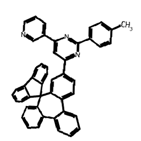 Cc1ccc(-c2nc(-c3cccnc3)cc(-c3ccc4c(c3)C3(c5ccccc5-c5ccccc5-4)c4ccccc4-c4ccccc43)n2)cc1